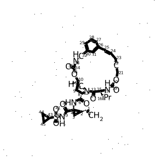 C=C[C@@H]1C[C@]1(NC(=O)[C@@H]1C[C@@H]2CN1C(=O)[C@H](C(C)C)NC(=O)OCCCC=Cc1cccc(c1)CNC(=O)O2)C(=O)NS(=O)(=O)C1CC1